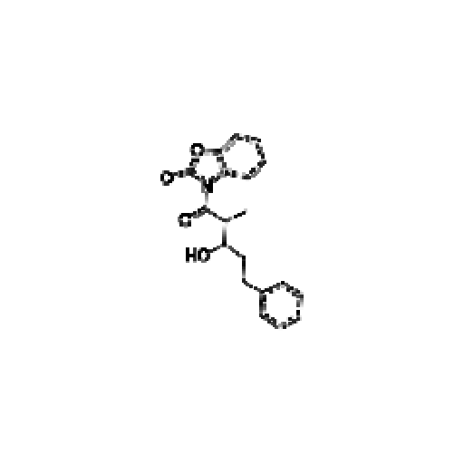 CC(C(=O)n1c(=O)oc2ccccc21)C(O)CCc1ccccc1